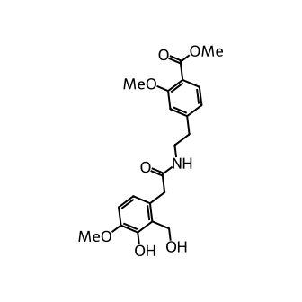 COC(=O)c1ccc(CCNC(=O)Cc2ccc(OC)c(O)c2CO)cc1OC